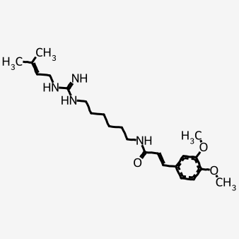 COc1ccc(C=CC(=O)NCCCCCCNC(=N)NCC=C(C)C)cc1OC